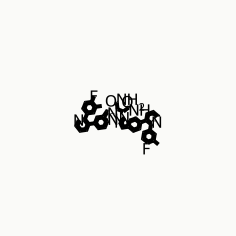 Cc1cc(-c2ncccc2-c2ccc3nn(C(C(N)=O)C(C(N)=O)n4ncc5ccc(-c6cccnc6-c6ccc(F)c(C)c6)cc54)cc3c2)ccc1F